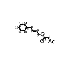 CC(=O)CC(=O)OCC=CCc1ccccc1